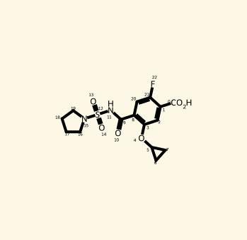 O=C(O)c1cc(OC2CC2)c(C(=O)NS(=O)(=O)N2CCCC2)cc1F